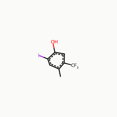 Cc1cc(I)c(O)cc1C(F)(F)F